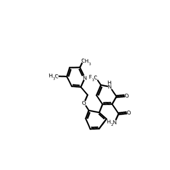 Cc1cc(C)nc(COc2ccccc2-c2cc(C(F)(F)F)[nH]c(=O)c2C(N)=O)c1